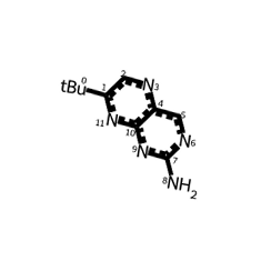 CC(C)(C)c1cnc2cnc(N)nc2n1